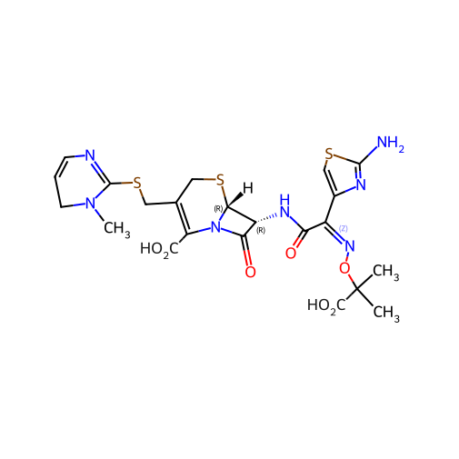 CN1CC=CN=C1SCC1=C(C(=O)O)N2C(=O)[C@@H](NC(=O)/C(=N\OC(C)(C)C(=O)O)c3csc(N)n3)[C@H]2SC1